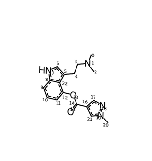 CN(C)CCc1c[nH]c2cccc(OC(=O)c3cnn(C)c3)c12